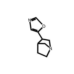 c1ncc(C2CN3CCC2C3)o1